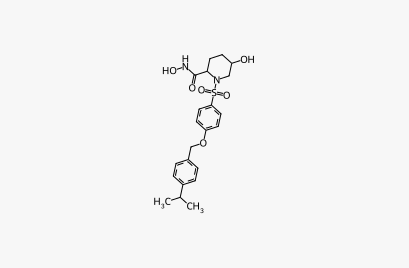 CC(C)c1ccc(COc2ccc(S(=O)(=O)N3CC(O)CCC3C(=O)NO)cc2)cc1